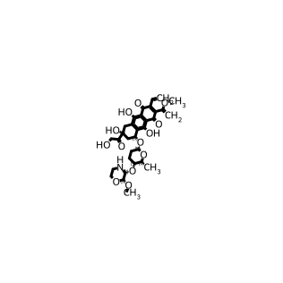 C=CC1=C(C(=C)OC)C(=O)c2c(O)c3c(c(O)c2C1=O)C[C@@](O)(C(=O)CO)C[C@@H]3O[C@H]1CC[C@H](O[C@H]2NCCO[C@@H]2OC)[C@H](C)O1